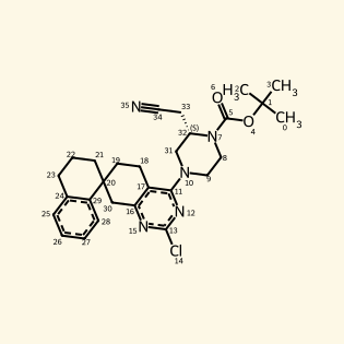 CC(C)(C)OC(=O)N1CCN(c2nc(Cl)nc3c2CCC2(CCCc4ccccc42)C3)C[C@@H]1CC#N